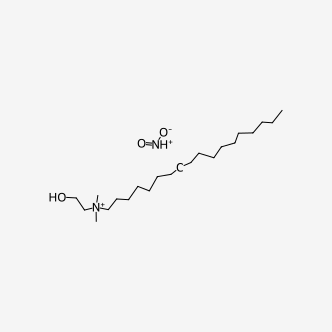 CCCCCCCCCCCCCCCCCC[N+](C)(C)CCO.O=[NH+][O-]